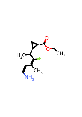 CCOC(=O)[C@H]1C[C@@H]1C(C)/C(F)=C(C)\C=C/N